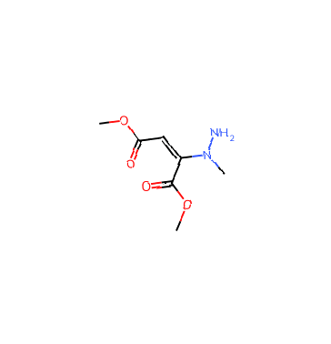 COC(=O)/C=C(\C(=O)OC)N(C)N